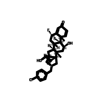 C[C@]12C=CC(=O)C=C1[C@@H](F)C[C@H]1[C@@H]3C[C@H]4CN(Cc5ccc(Cl)cc5)C[C@@]4(C(=O)CO)[C@@]3(C)C[C@H](O)[C@@]12F